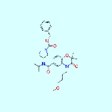 COCCCCN1C(=O)C(C)(C)Oc2ccc(C(=O)N(C(C)C)C3CCN(C(=O)OCc4ccccc4)C3)cc21